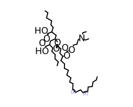 CCCCC/C=C\C/C=C\CCCCCCCCC(CCC(=O)OC(CC(CCCCCC)C(=O)O)CC(CCCCCC)C(=O)O)OC(=O)OCCCN(CC)CC